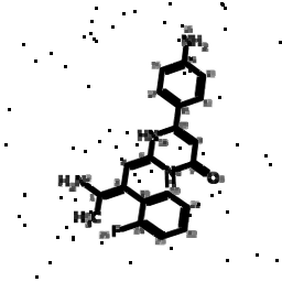 C/C(N)=C(/C=C1\NC(=O)C=C(c2ccc(N)cc2)N1)c1ccccc1F